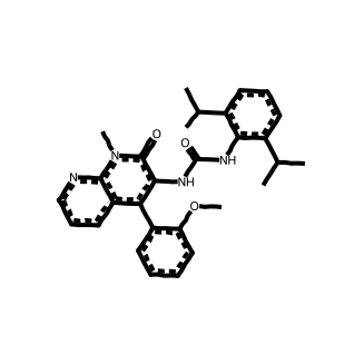 COc1ccccc1-c1c(NC(=O)Nc2c(C(C)C)cccc2C(C)C)c(=O)n(C)c2ncccc12